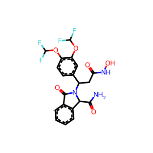 NC(=O)C1c2ccc[c]c2C(=O)N1C(CC(=O)NO)c1ccc(OC(F)F)c(OC(F)F)c1